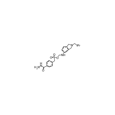 C[C](C)CN1Cc2ccc(NCOS(=O)(=O)Cc3ccc(C(=O)NN)cc3)cc2C1